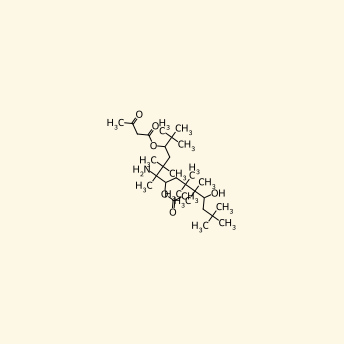 CC(=O)CC(=O)OC(CC(C)(C)C(C)(N)C(CC(C)(C)C(C)(C)C(O)CC(C)(C)C)OC(C)=O)C(C)(C)C